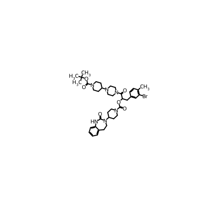 Cc1ccc(CC(OC(=O)N2CCC(N3CCc4ccccc4NC3=O)CC2)C(=O)N2CCN(C3CCN(C(=O)OC(C)(C)C)CC3)CC2)cc1Br